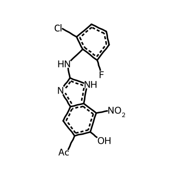 CC(=O)c1cc2nc(Nc3c(F)cccc3Cl)[nH]c2c([N+](=O)[O-])c1O